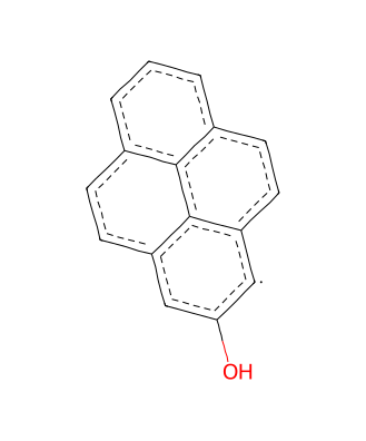 Oc1[c]c2ccc3cccc4ccc(c1)c2c34